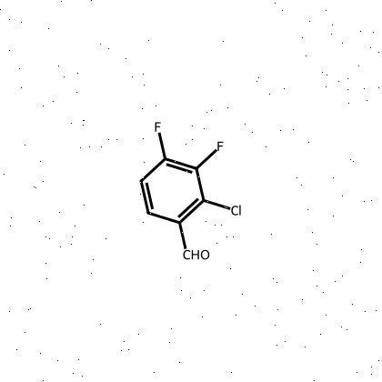 O=Cc1ccc(F)c(F)c1Cl